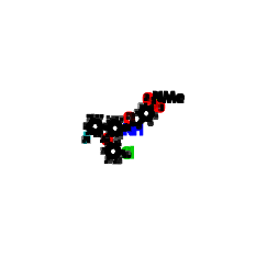 CNS(=O)(=O)c1ccc(CC(=O)Nc2ccc(-c3cccc(F)c3)c(Oc3cccc(Cl)c3)c2)cc1